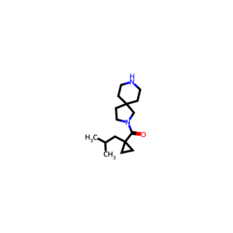 CC(C)CC1(C(=O)N2CCC3(CCNCC3)C2)CC1